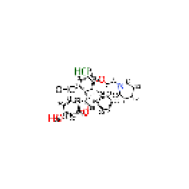 Cl.O=Cc1ccc(OCCN2CCCCC2)cc1-c1c(-c2ccccc2)oc2cc(O)ccc12